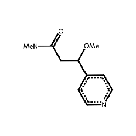 CNC(=O)CC(OC)c1ccncc1